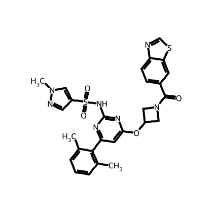 Cc1cccc(C)c1-c1cc(OC2CN(C(=O)c3ccc4ncsc4c3)C2)nc(NS(=O)(=O)c2cnn(C)c2)n1